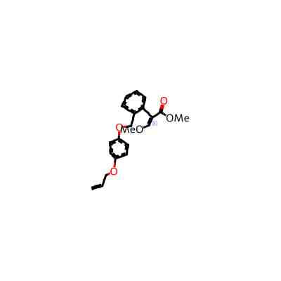 C=CCOc1ccc(OCc2ccccc2/C(=C\OC)C(=O)OC)cc1